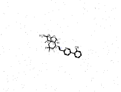 C[C@H]1OC(=O)[C@]2([C@@H](C)C(N)=O)CC(F)(F)[C@@H](C)[C@H](/C=C/c3ccc(-c4ccccc4C#N)cn3)[C@H]12